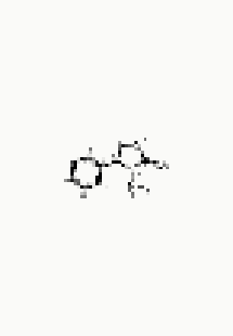 NN1C(=O)SCC1c1ccccc1